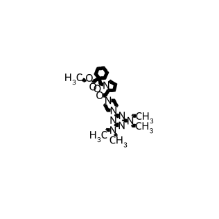 CCOC(=O)C1(C(=O)N2CCCC2C(=O)N2CCN(c3nc(N(CC)CC)nc(N(CC)CC)n3)CC2)CCCCC1